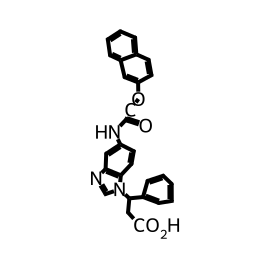 O=C(O)CC(c1ccccc1)n1cnc2cc(NC(=O)COc3ccc4ccccc4c3)ccc21